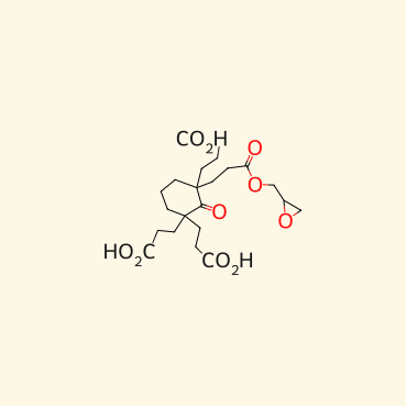 O=C(O)CCC1(CCC(=O)O)CCCC(CCC(=O)O)(CCC(=O)OCC2CO2)C1=O